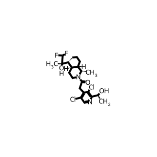 C[C@H](O)c1ncc(Cl)c(CC(=O)N2CC[C@@H]3[C@H](CCC[C@H]3[C@](C)(O)C(F)F)[C@@H]2C)c1Cl